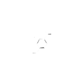 CCOc1ccc(S(=O)O)cc1.[KH]